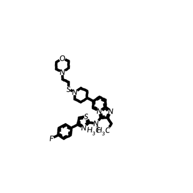 CCc1nc2ccc(C3CCN(SCCN4CCOCC4)CC3)cn2c1N(C)c1nc(-c2ccc(F)cc2)cs1